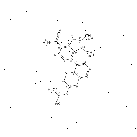 C=C(CN1CCc2c(cccc2-c2cnc(C(N)=O)c3[nH]c(C)c(C)c23)C1)C(C)=O